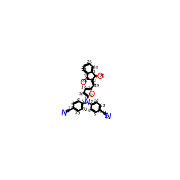 N#Cc1ccc(N(c2ccc(C#N)cc2)c2ccc(C=C3C(=O)c4ccccc4C3=O)o2)cc1